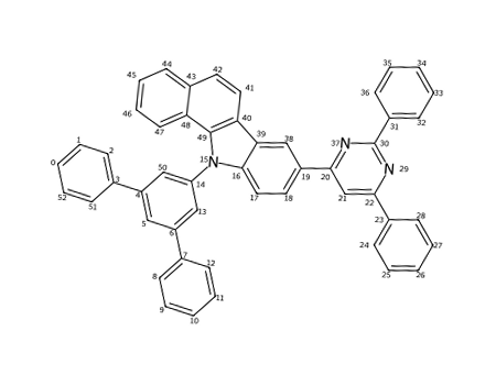 c1ccc(-c2cc(-c3ccccc3)cc(-n3c4ccc(-c5cc(-c6ccccc6)nc(-c6ccccc6)n5)cc4c4ccc5ccccc5c43)c2)cc1